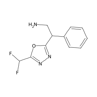 NCC(c1ccccc1)c1nnc(C(F)F)o1